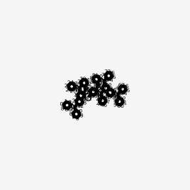 c1ccc(N(c2ccccc2)c2ccc3c4c5c(cc3c2)N(c2ccccc2)c2ccccc2B5c2cc3c(cc2O4)N(c2ccccc2)c2c4c(cc5cc(N(c6ccccc6)c6ccccc6)ccc25)N(c2ccccc2)c2ccccc2B34)cc1